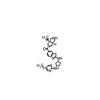 C=N[C@]12CNC[C@H]1CN(C(=O)c1ccc3nc(N[C@H]4CC[C@H](Nc5ncc(SC)cn5)C4)sc3c1)C2